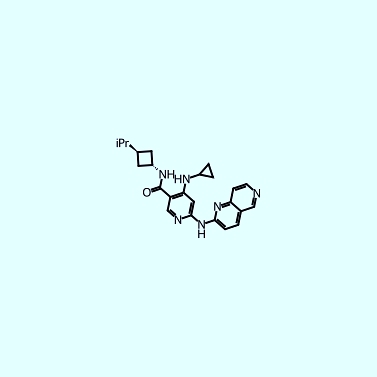 CC(C)[C@H]1C[C@H](NC(=O)c2cnc(Nc3ccc4cnccc4n3)cc2NC2CC2)C1